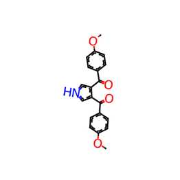 COc1ccc(C(=O)c2c[nH]cc2C(=O)c2ccc(OC)cc2)cc1